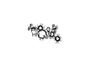 O=C([C@@H]1CNCCCNCc2c(cccc2OCC(F)(F)F)C1)N1CC[C@@H](c2ccccc2)C[C@H]1CC(F)(F)F